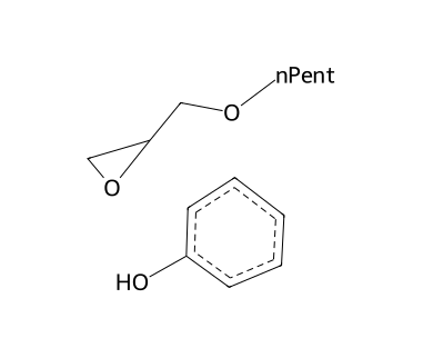 CCCCCOCC1CO1.Oc1ccccc1